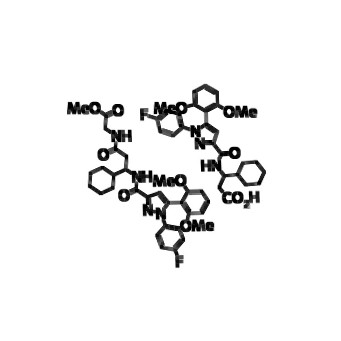 COC(=O)CNC(=O)CC(NC(=O)c1cc(-c2c(OC)cccc2OC)n(-c2ccc(F)cc2)n1)C1CCCCC1.COc1cccc(OC)c1-c1cc(C(=O)NC(CC(=O)O)C2CCCCC2)nn1-c1ccc(F)cc1